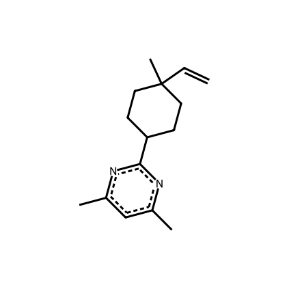 C=CC1(C)CCC(c2nc(C)cc(C)n2)CC1